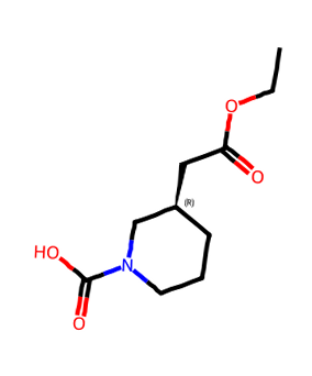 CCOC(=O)C[C@H]1CCCN(C(=O)O)C1